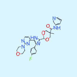 CC1(C(=O)Nc2cccnc2)COC(c2nc(-c3ccc(F)cc3)c(-c3ccnc(N4CCOCC4)n3)[nH]2)OC1